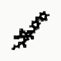 CCCOC(=O)C1CC(CCC)(C(=O)NCc2ccc(Oc3ccccc3)cc2)C1C(=O)O